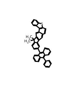 CC1(C)c2ccc(-c3c4ccccc4c(-c4ccccc4)c4ccccc34)cc2-c2cc3ccc4sc5ccccc5c4c3cc21